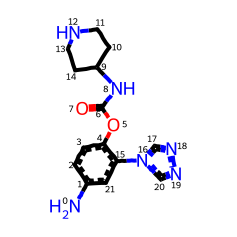 Nc1ccc(OC(=O)NC2CCNCC2)c(-n2cnnc2)c1